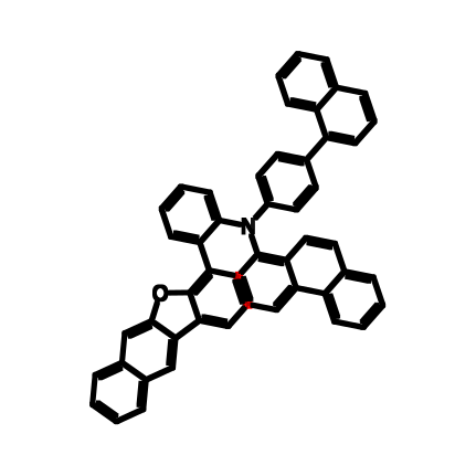 c1ccc(N(c2ccc(-c3cccc4ccccc34)cc2)c2cccc3c2ccc2ccccc23)c(-c2cccc3c2oc2cc4ccccc4cc23)c1